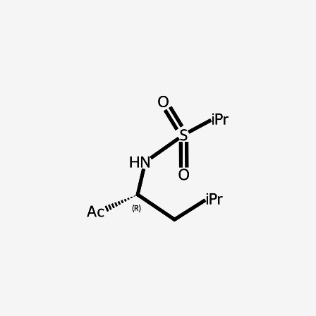 CC(=O)[C@@H](CC(C)C)NS(=O)(=O)C(C)C